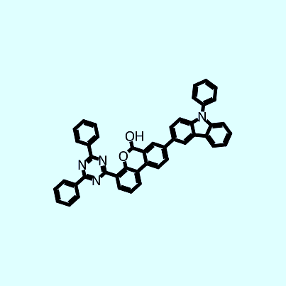 OC1Oc2c(-c3nc(-c4ccccc4)nc(-c4ccccc4)n3)cccc2-c2ccc(-c3ccc4c(c3)c3ccccc3n4-c3ccccc3)cc21